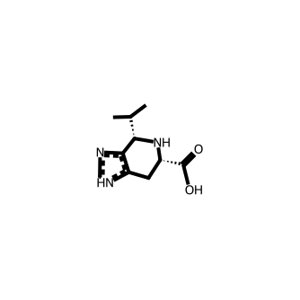 CC(C)[C@@H]1N[C@H](C(=O)O)Cc2[nH]cnc21